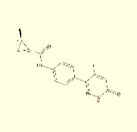 Cc1cc(=O)[nH]nc1-c1ccc(NC(=O)[C@@H]2C[C@H]2C)cc1